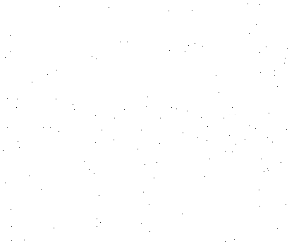 C=Cc1ccc(C2CC(=O)C2)cc1